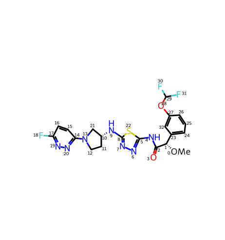 CO[C@H](C(=O)Nc1nnc(N[C@@H]2CCN(c3ccc(F)nn3)C2)s1)c1cccc(OC(F)F)c1